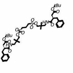 CC(C)(CNC(=O)[C@@H](CC(=O)OC(C)(C)C)Cc1ccccc1)COS(=O)(=O)CCCS(=O)(=O)OCC(C)(C)CNC(=O)[C@@H](CC(=O)OC(C)(C)C)Cc1ccccc1